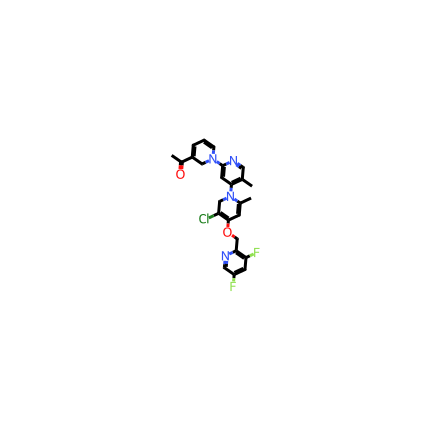 CC(=O)C1=CC=CN(c2cc(N3CC(Cl)=C(OCc4ncc(F)cc4F)C=C3C)c(C)cn2)C1